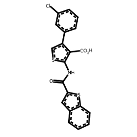 O=C(Nc1scc(-c2cccc(Cl)c2)c1C(=O)O)c1cc2ccccc2s1